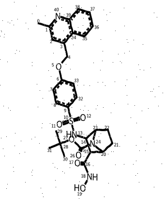 Cc1cc(COc2ccc(S(=O)(=O)NC3C(C(=O)NO)C4CCC3N4C(=O)OC(C)(C)C)cc2)c2ccccc2n1